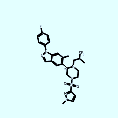 Cc1cc2c(cnn2-c2ccc(F)cc2)cc1[C@@H]1CN(S(=O)(=O)c2ccn(C)n2)CCN1CC(C)C(F)(F)F